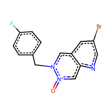 O=[n+]1cc2ncc(Br)cc2cn1Cc1ccc(F)cc1